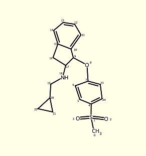 CS(=O)(=O)c1ccc(OC2c3ccccc3CC2NCC2CC2)cc1